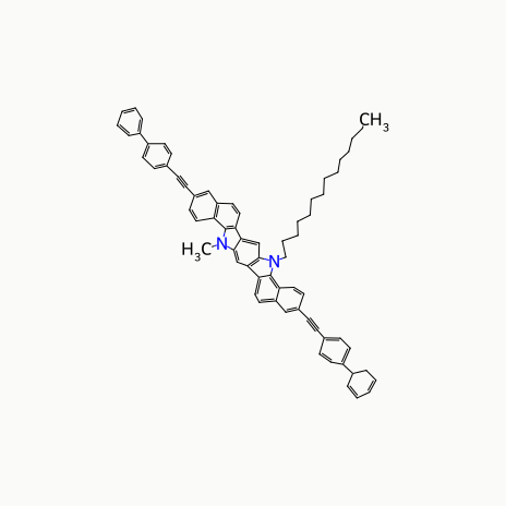 CCCCCCCCCCCCCCn1c2cc3c4ccc5cc(C#Cc6ccc(-c7ccccc7)cc6)ccc5c4n(C)c3cc2c2ccc3cc(C#Cc4ccc(C5C=CC=CC5)cc4)ccc3c21